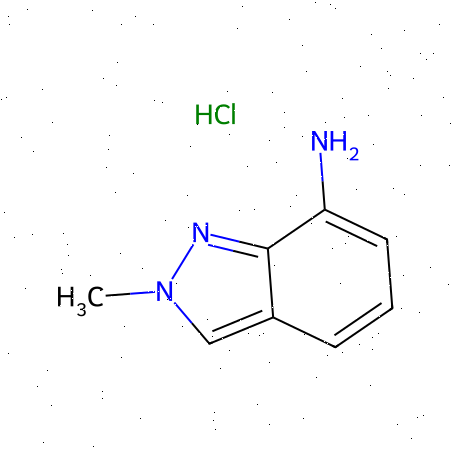 Cl.Cn1cc2cccc(N)c2n1